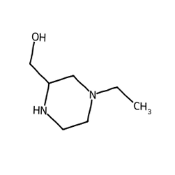 CCN1CCNC(CO)C1